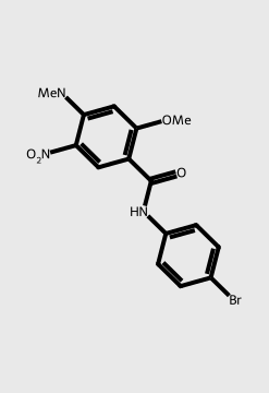 CNc1cc(OC)c(C(=O)Nc2ccc(Br)cc2)cc1[N+](=O)[O-]